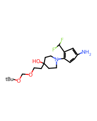 CC(C)(C)OCOCCC1(O)CCN(c2ccc(N)cc2C(F)F)CC1